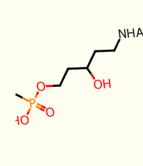 CC(=O)NCCC(O)CCOP(C)(=O)O